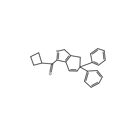 O=C(C1=NCC2=C1C=CC(c1ccccc1)(c1ccccc1)C2)C1CCC1